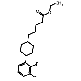 CCOC(=O)CCCC[C@H]1CC[C@H](c2cccc(F)c2F)CC1